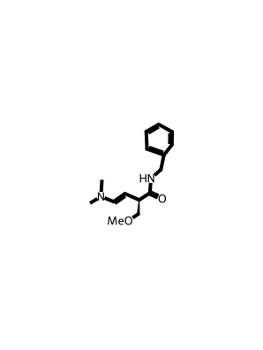 COC[C@@H](/C=C/N(C)C)C(=O)NCc1ccccc1